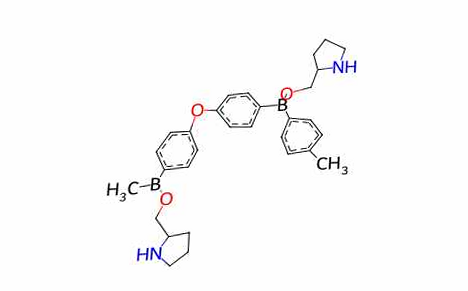 CB(OCC1CCCN1)c1ccc(Oc2ccc(B(OCC3CCCN3)c3ccc(C)cc3)cc2)cc1